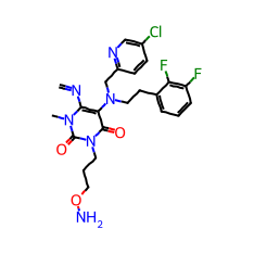 C=Nc1c(N(CCc2cccc(F)c2F)Cc2ccc(Cl)cn2)c(=O)n(CCCON)c(=O)n1C